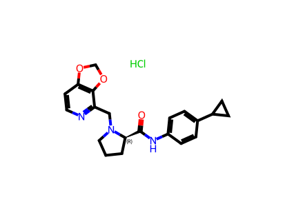 Cl.O=C(Nc1ccc(C2CC2)cc1)[C@H]1CCCN1Cc1nccc2c1OCO2